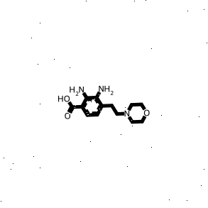 Nc1c(CCN2CCOCC2)ccc(C(=O)O)c1N